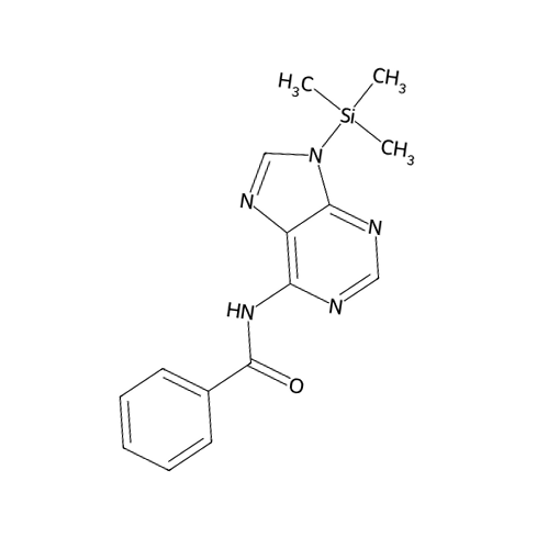 C[Si](C)(C)n1cnc2c(NC(=O)c3ccccc3)ncnc21